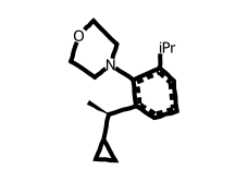 CC(C)c1cccc([C@H](C)C2CC2)c1N1CCOCC1